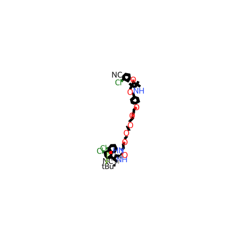 CC(C)(C)C[C@H]1N[C@H](C(=O)NCCOCCOCCOCCOCCOc2ccc(C(=O)NC3C(C)(C)C(Oc4ccc(C#N)c(Cl)c4)C3(C)C)cc2)[C@@H](c2cccc(Cl)c2F)[C@]1(C#N)c1ccc(Cl)cc1F